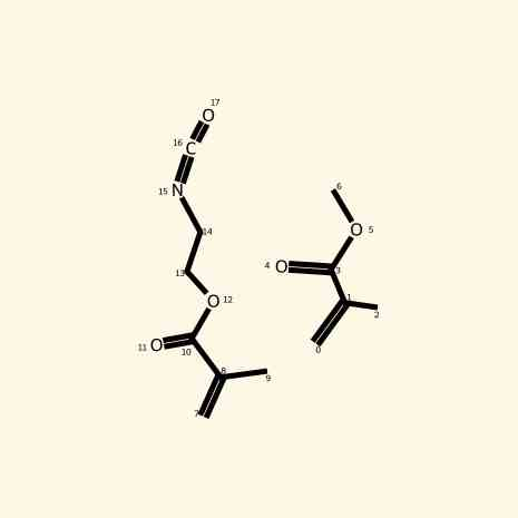 C=C(C)C(=O)OC.C=C(C)C(=O)OCCN=C=O